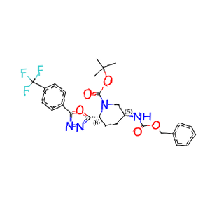 CC(C)(C)OC(=O)N1C[C@@H](NC(=O)OCc2ccccc2)CC[C@@H]1c1nnc(-c2ccc(C(F)(F)F)cc2)o1